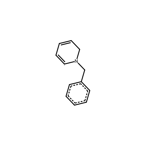 [C]1=CC=CCN1Cc1ccccc1